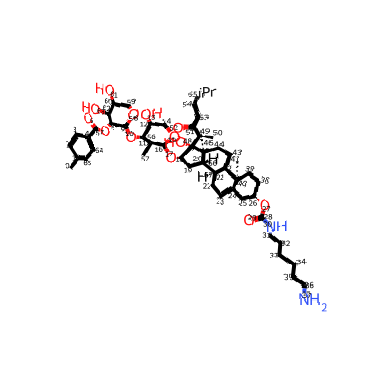 Cc1ccc(C(=O)OC2C(OC3C(O)COC(O[C@H]4C[C@H]5[C@@H]6CC=C7C[C@@H](OC(=O)NCCCCCCN)CC[C@]7(C)C6CC[C@]5(C)[C@@]4(O)[C@H](C)C(=O)CCC(C)C)C3C)OCC(O)C2O)cc1